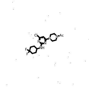 CC(=O)N1CCN(c2cc(Cl)nc(NC3CCC(F)(F)CC3)n2)CC1